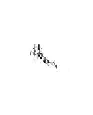 CN1CCN(c2ccc(Nc3ncc(F)c(NCC4CCCN4C(=O)CC#N)n3)cn2)CC1